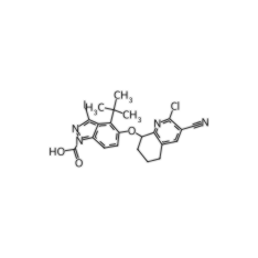 CC(C)(C)c1c(OC2CCCc3cc(C#N)c(Cl)nc32)ccc2c1c(I)nn2C(=O)O